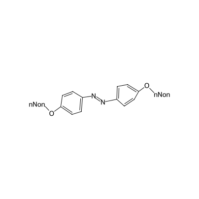 CCCCCCCCCOc1ccc(N=Nc2ccc(OCCCCCCCCC)cc2)cc1